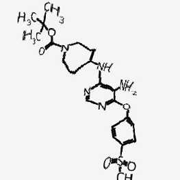 CC(C)(C)OC(=O)N1CCC(Nc2ncnc(Oc3ccc(S(C)(=O)=O)cc3)c2N)CC1